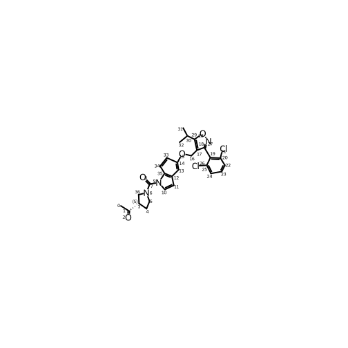 CC(=O)[C@H]1CCN(C(=O)n2ccc3cc(OCc4c(-c5c(Cl)cccc5Cl)noc4C(C)C)ccc32)C1